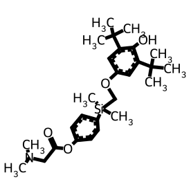 CN(C)CC(=O)Oc1ccc([Si](C)(C)COc2cc(C(C)(C)C)c(O)c(C(C)(C)C)c2)cc1